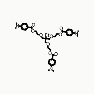 CCC(COCCOC(=O)c1ccc(N(C)C)cc1)(COCCOC(=O)c1ccc(N(C)C)cc1)COCCOC(=O)c1ccc(N(C)C)cc1